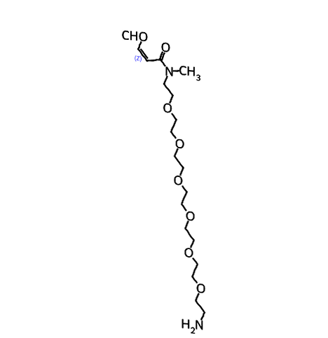 CN(CCOCCOCCOCCOCCOCCOCCN)C(=O)/C=C\C=O